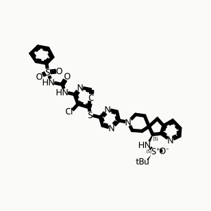 CC(C)(C)[S@@+]([O-])N[C@@H]1c2ncccc2CC12CCN(c1cnc(Sc3ccnc(NC(=O)NS(=O)(=O)c4ccccc4)c3Cl)cn1)CC2